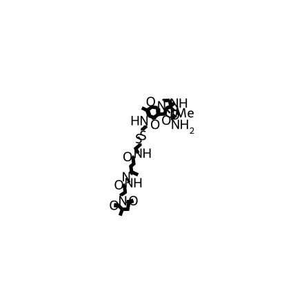 CO[C@@]12C(OC(N)=O)C3=C(C(=O)C(C)=C(NCCSSCCNC(=O)CC/C(C)=N/NC(=O)CCN4C(=O)CC(C)C4=O)C3=O)N1CC1N[C@@H]12